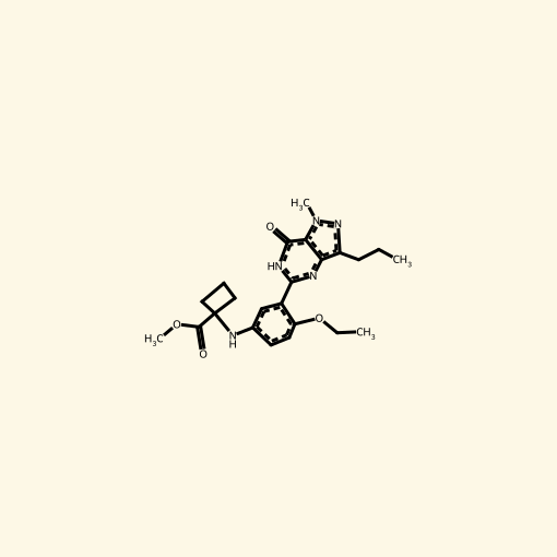 CCCc1nn(C)c2c(=O)[nH]c(-c3cc(NC4(C(=O)OC)CCC4)ccc3OCC)nc12